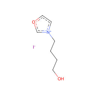 OCCCC[n+]1ccoc1.[I-]